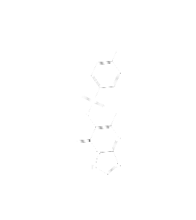 Cc1nc2nc[nH]n2c(=O)c1NS(=O)(=O)c1ccc(Br)cc1